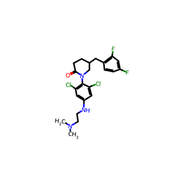 CN(C)CCNc1cc(Cl)c(N2CC(Cc3ccc(F)cc3F)CCC2=O)c(Cl)c1